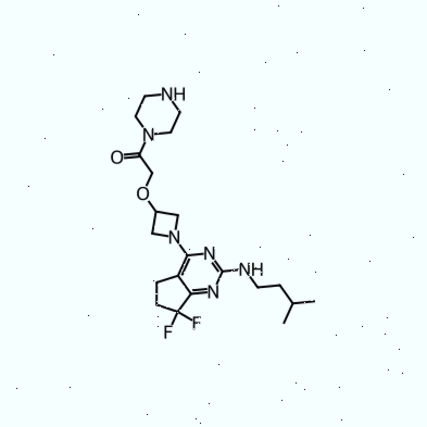 CC(C)CCNc1nc(N2CC(OCC(=O)N3CCNCC3)C2)c2c(n1)C(F)(F)CC2